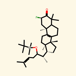 CC(C)=CCC(O[Si](C)(C)C(C)(C)C)[C@@H](C)[C@H]1CC[C@@]2(C)C3=C(CC[C@]12C)[C@@]1(C)C[C@@H](F)C(=O)C(C)(C)C1CC3